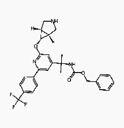 CC(C)(NC(=O)OCc1ccccc1)c1cc(O[C@H]2[C@@H]3CNC[C@@]32C)nc(-c2ccc(C(F)(F)F)cc2)c1